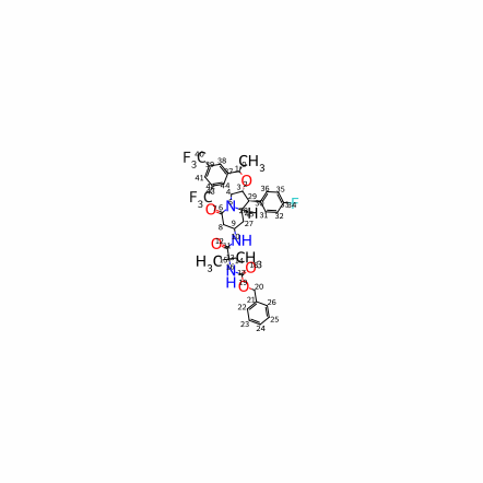 C[C@@H](O[C@H]1CN2C(=O)CC(NC(=O)C(C)(C)NC(=O)OCc3ccccc3)C[C@H]2[C@@H]1c1ccc(F)cc1)c1cc(C(F)(F)F)cc(C(F)(F)F)c1